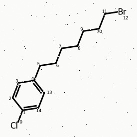 Clc1ccc(CCCCCCCBr)cc1